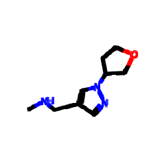 CNCc1cnn(C2CCOC2)c1